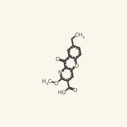 CCc1ccc2oc3cc(C(=O)O)c(OC)nc3c(=O)c2c1